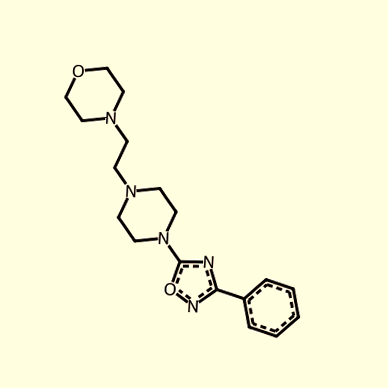 c1ccc(-c2noc(N3CCN(CCN4CCOCC4)CC3)n2)cc1